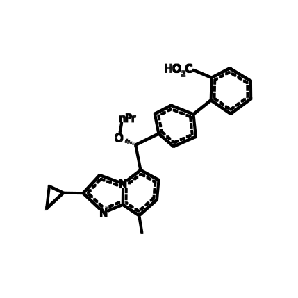 CCCO[C@H](c1ccc(-c2ccccc2C(=O)O)cc1)c1ccc(C)c2nc(C3CC3)cn12